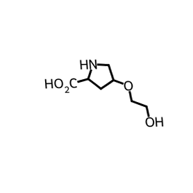 O=C(O)C1CC(OCCO)CN1